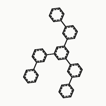 c1ccc(-c2cccc(-c3cc(-c4cccc(-c5ccccc5)c4)cc(-c4cccc(-c5ccccc5)c4)c3)c2)cc1